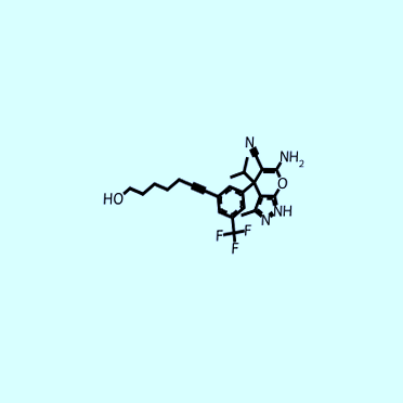 Cc1n[nH]c2c1C(c1cc(C#CCCCCCO)cc(C(F)(F)F)c1)(C(C)C)C(C#N)=C(N)O2